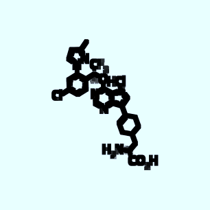 Cc1ccn(-c2cc(Cl)ccc2[C@@H](Oc2ncnc3c(C4=CCC(C[C@H](N)C(=O)O)CC4)csc23)C(F)(F)F)n1.Cl